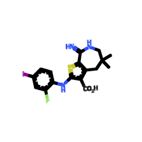 CC1(C)CNC(=N)c2sc(Nc3ccc(I)cc3F)c(C(=O)O)c2C1